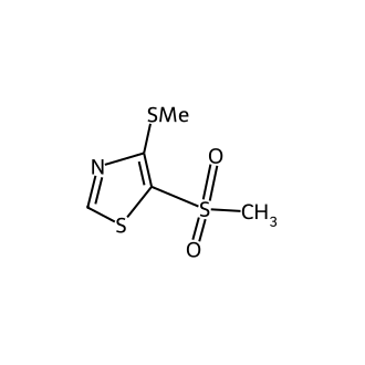 CSc1ncsc1S(C)(=O)=O